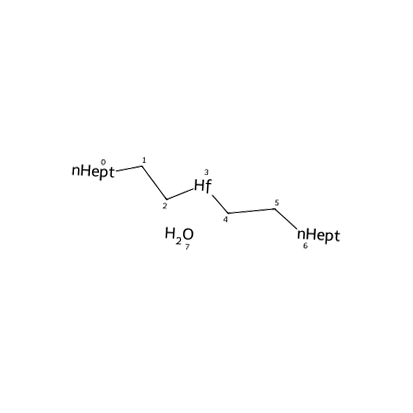 CCCCCCCC[CH2][Hf][CH2]CCCCCCCC.O